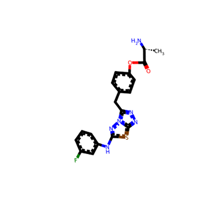 C[C@@H](N)C(=O)Oc1ccc(Cc2nnc3sc(Nc4cccc(F)c4)nn23)cc1